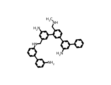 CNCc1ccc(-c2cc(N)cc(-c3ccccc3)c2)cc1-c1cc(N)cc(CNc2cccc(-c3cccc(N)c3)c2)c1